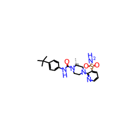 C[C@@H]1CN(c2ncccc2S(N)(=O)=O)CCN1C(=O)Nc1ccc(C(C)(C)C)cc1